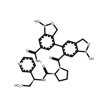 NC(=O)c1cc2c(c(-c3cc4c(cc3C(=O)N3CCC[C@H]3C(=O)N[C@@H](CC(=O)O)c3cccnc3)B(O)OC4)c1)COB2O